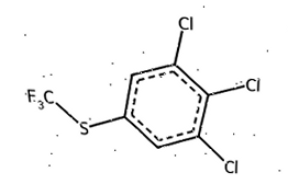 FC(F)(F)Sc1cc(Cl)c(Cl)c(Cl)c1